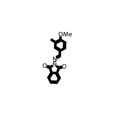 COc1ccc(/C=N/N2C(=O)c3ccccc3C2=O)cc1C